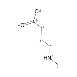 CNCCCC([O])=O